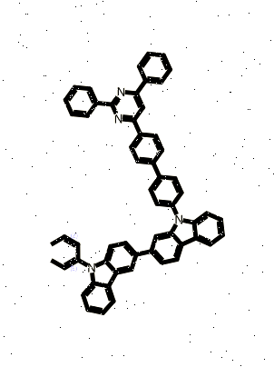 C/C=C\C(=C/C)n1c2ccccc2c2cc(-c3ccc4c5ccccc5n(-c5ccc(-c6ccc(-c7cc(-c8ccccc8)nc(-c8ccccc8)n7)cc6)cc5)c4c3)ccc21